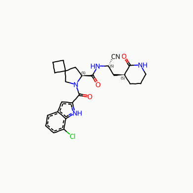 N#C[C@H](C[C@@H]1CCCNC1=O)NC(=O)[C@@H]1CC2(CCC2)CN1C(=O)c1cc2cccc(Cl)c2[nH]1